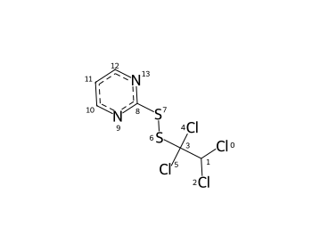 ClC(Cl)C(Cl)(Cl)SSc1ncccn1